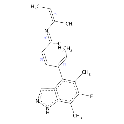 C\C=C(C)/N=C(C)/C=C\C(=C/C)c1c(C)c(F)c(C)c2[nH]ncc12